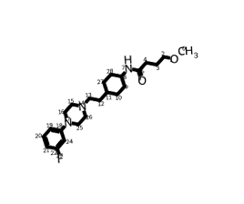 COCCCC(=O)NC1CCC(CCN2CCN(c3cccc(F)c3)CC2)CC1